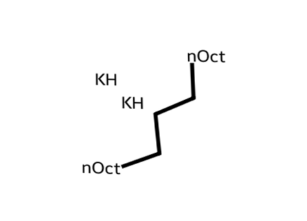 CCCCCCCCCCCCCCCCCCC.[KH].[KH]